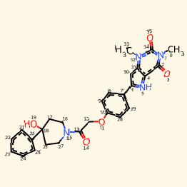 Cn1c(=O)c2[nH]c(-c3ccc(OCC(=O)N4CCC(O)(c5ccccc5)CC4)cc3)cc2n(C)c1=O